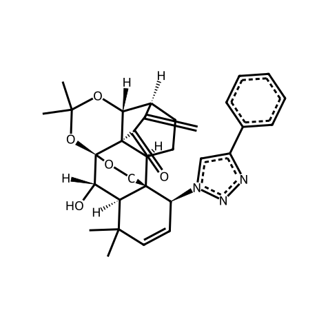 C=C1C(=O)[C@@]23[C@@H]4OC(C)(C)O[C@]25OC[C@]2([C@@H](n6cc(-c7ccccc7)nn6)C=CC(C)(C)[C@H]2[C@@H]5O)[C@@H]3CC[C@@H]14